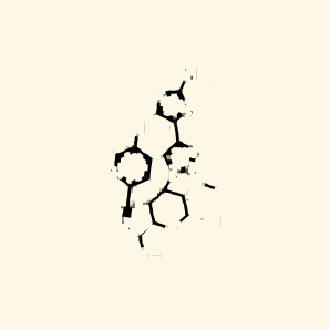 CO[C@@H]1[C@H](S)O[C@@H](CO)[C@@H](O)[C@@]1(c1cc(Cl)cnc1C#N)n1cc(-c2csc(N)n2)nn1